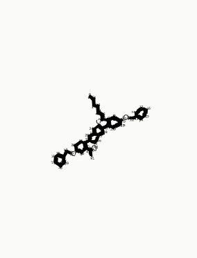 CCCCCCC(=O)c1cc(OCc2ccccc2)ccc1-c1ccc2cc(-c3ccc(OCc4ccccc4)cc3C(C)=O)ccc2c1